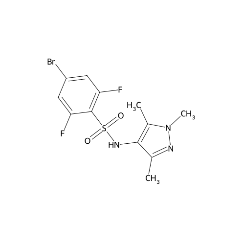 Cc1nn(C)c(C)c1NS(=O)(=O)c1c(F)cc(Br)cc1F